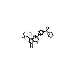 CC(C)(C=O)Cc1c[nH]c2ncc(-n3ccc(C(=O)N4CCCC4)c3)nc12